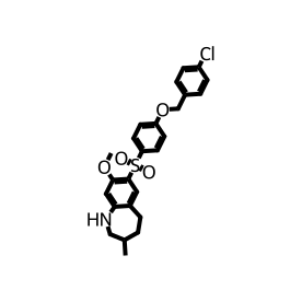 COc1cc2c(cc1S(=O)(=O)c1ccc(OCc3ccc(Cl)cc3)cc1)CCC(C)CN2